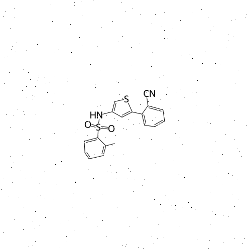 Cc1ccccc1S(=O)(=O)Nc1csc(-c2ccccc2C#N)c1